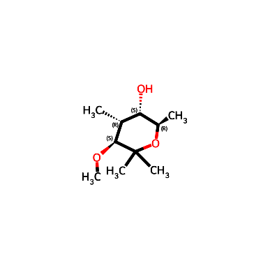 CO[C@H]1[C@H](C)[C@H](O)[C@@H](C)OC1(C)C